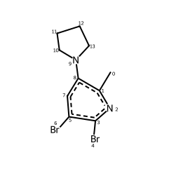 Cc1nc(Br)c(Br)cc1N1CCCC1